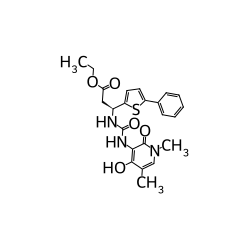 CCOC(=O)C[C@H](NC(=O)Nc1c(O)c(C)cn(C)c1=O)c1ccc(-c2ccccc2)s1